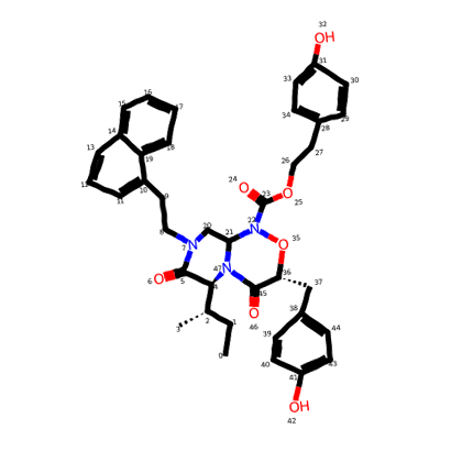 CC[C@H](C)[C@H]1C(=O)N(CCc2cccc3ccccc23)CC2N(C(=O)OCCc3ccc(O)cc3)O[C@H](Cc3ccc(O)cc3)C(=O)N21